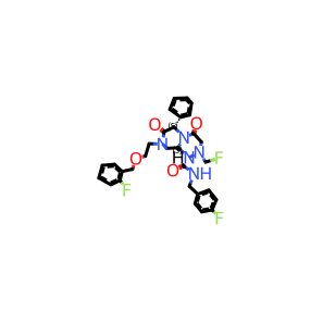 O=C1[C@H](c2ccccc2)N2C(=O)CN(CF)N(C(=O)NCc3ccc(F)cc3)[C@H]2CN1CCOCc1ccccc1F